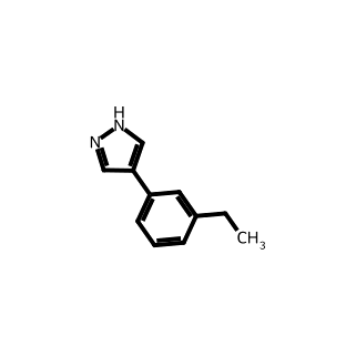 CCc1cccc(-c2cn[nH]c2)c1